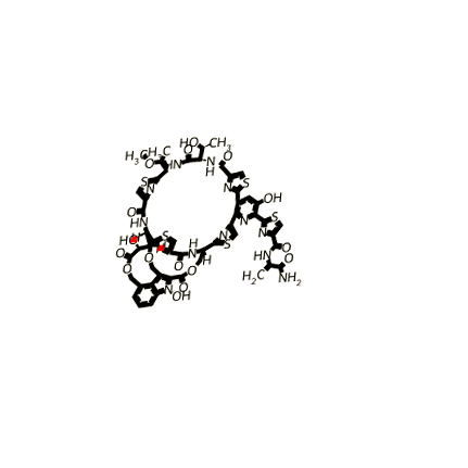 C=C(NC(=O)c1csc(-c2nc3c(cc2O)-c2nc(cs2)C(=O)N[C@@H]([C@@H](C)O)C(=O)N/C(=C(\C)OC)c2nc(cs2)C(=O)N[C@@H]2c4nc(cs4)C(=O)N[C@@H](COC(=O)c4c5c6c(cccc6n4O)COC(=O)[C@@H](O)[C@H]2OC5)c2nc-3cs2)n1)C(N)=O